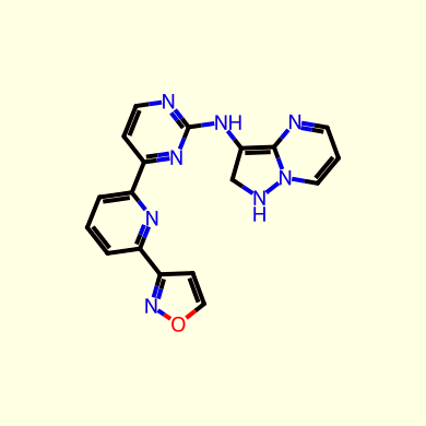 C1=CN2NCC(Nc3nccc(-c4cccc(-c5ccon5)n4)n3)=C2N=C1